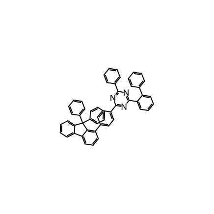 c1ccc(-c2nc(-c3ccc(-c4cccc5c4C(c4ccccc4)(c4ccccc4)c4ccccc4-5)cc3)nc(-c3ccccc3-c3ccccc3)n2)cc1